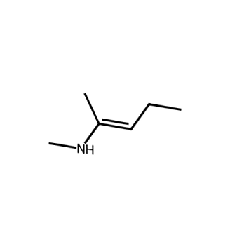 CC/C=C(\C)NC